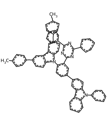 Cc1ccc(-c2ccc3c(c2)c2cc(-c4ccc(C)cc4)ccc2n3-c2ccc(-c3ccc4c(c3)c3ccccc3n4-c3ccccc3)cc2-c2nc(-c3ccccc3)nc(-c3ccccc3)n2)cc1